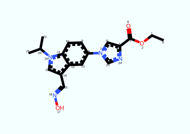 CCOC(=O)c1cn(-c2ccc3c(c2)c(/C=N/O)cn3C(C)C)cn1